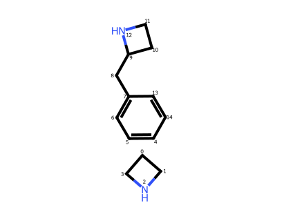 C1CNC1.c1ccc(CC2CCN2)cc1